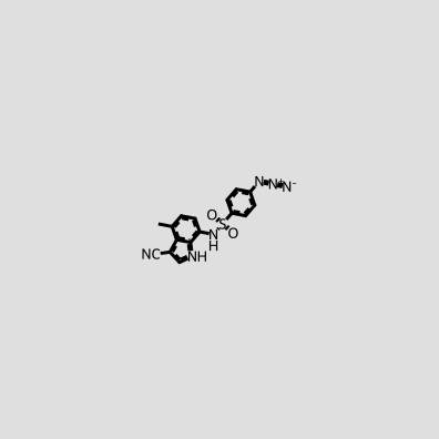 Cc1ccc(NS(=O)(=O)c2ccc(N=[N+]=[N-])cc2)c2[nH]cc(C#N)c12